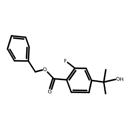 CC(C)(O)c1ccc(C(=O)OCc2ccccc2)c(F)c1